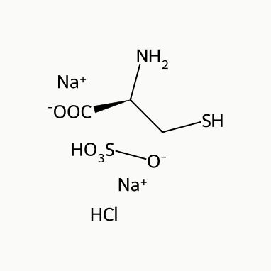 Cl.N[C@@H](CS)C(=O)[O-].O=S(=O)([O-])O.[Na+].[Na+]